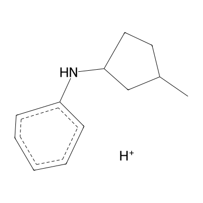 CC1CCC(Nc2ccccc2)C1.[H+]